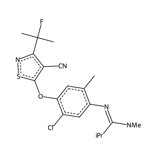 CNC(=Nc1cc(Cl)c(Oc2snc(C(C)(C)F)c2C#N)cc1C)C(C)C